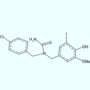 COc1cc(CN(Cc2ccc(Cl)cc2)C(N)=S)cc(I)c1O